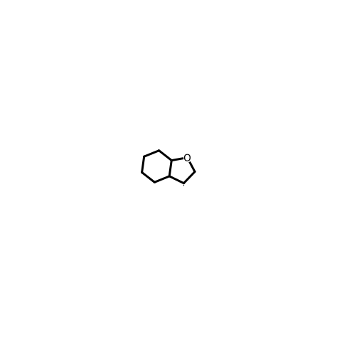 [CH]1COC2CCCCC12